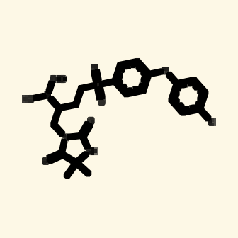 CC1(C)NC(=O)N(CC(CCS(=O)(=O)c2ccc(Oc3ccc(Cl)cc3)cc2)N(O)C=O)C1=O